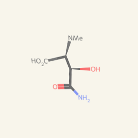 CN[C@H](C(=O)O)[C@@H](O)C(N)=O